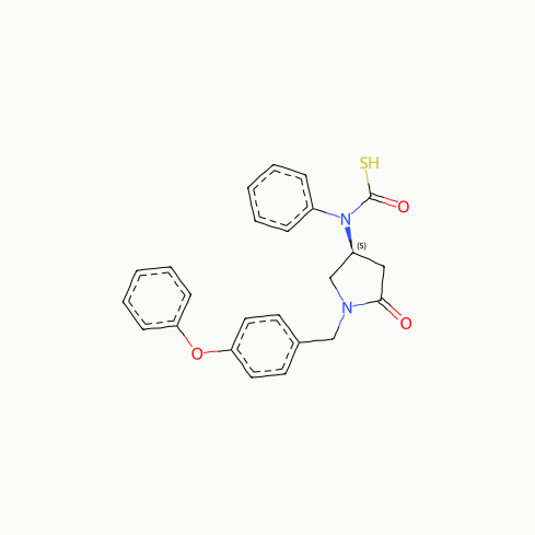 O=C1C[C@H](N(C(=O)S)c2ccccc2)CN1Cc1ccc(Oc2ccccc2)cc1